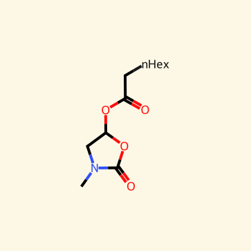 CCCCCCCC(=O)OC1CN(C)C(=O)O1